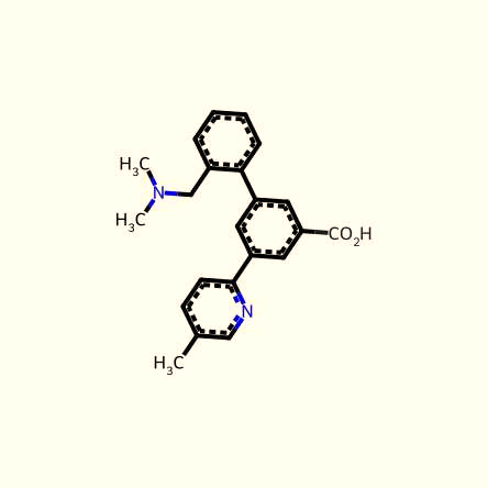 Cc1ccc(-c2cc(C(=O)O)cc(-c3ccccc3CN(C)C)c2)nc1